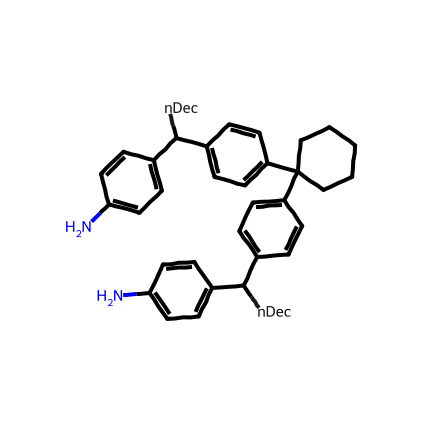 CCCCCCCCCCC(c1ccc(N)cc1)c1ccc(C2(c3ccc(C(CCCCCCCCCC)c4ccc(N)cc4)cc3)CCCCC2)cc1